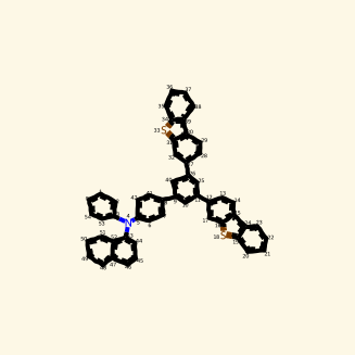 c1ccc(N(c2ccc(-c3cc(-c4ccc5c(c4)sc4ccccc45)cc(-c4ccc5c(c4)sc4ccccc45)c3)cc2)c2cccc3ccccc23)cc1